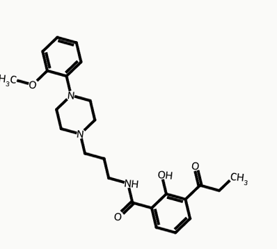 CCC(=O)c1cccc(C(=O)NCCCN2CCN(c3ccccc3OC)CC2)c1O